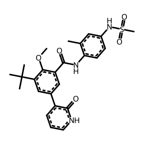 COc1c(C(=O)Nc2ccc(NS(C)(=O)=O)cc2C)cc(-c2ccc[nH]c2=O)cc1C(C)(C)C